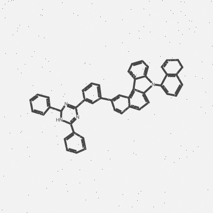 C1=Cc2c(cccc2-n2c3ccccc3c3c4cc(-c5cccc(C6=NC(c7ccccc7)NC(c7ccccc7)=N6)c5)ccc4ccc32)CC1